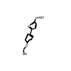 CCCCCCCc1ccc(-c2ccc(OCC(C)CC)cc2)nc1